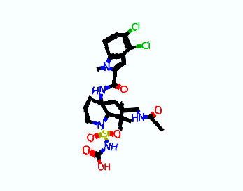 CC(=O)NCCCC1(NC(=O)c2cc3c(Cl)c(Cl)ccc3n2C)CCCN(S(=O)(=O)NC(=O)O)C1C(C)(C)C